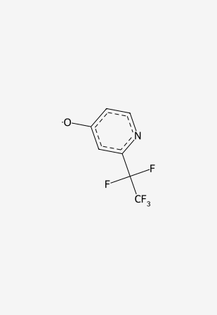 [O]c1ccnc(C(F)(F)C(F)(F)F)c1